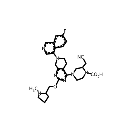 CN1CCCC1COc1nc2c(c(N3CCN(C(=O)O)C(CC#N)C3)n1)CCN(c1cncc3cc(F)ccc13)C2